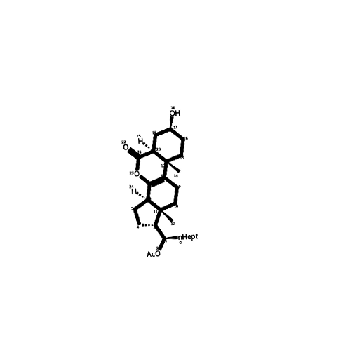 CCCCCCC[C@@H](OC(C)=O)[C@@H]1CC[C@H]2C3=C(CC[C@@]21C)[C@@]1(C)CC[C@H](O)C[C@@H]1C(=O)O3